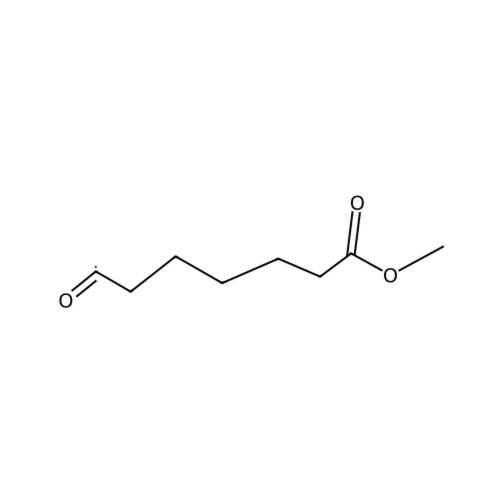 COC(=O)CCCCC[C]=O